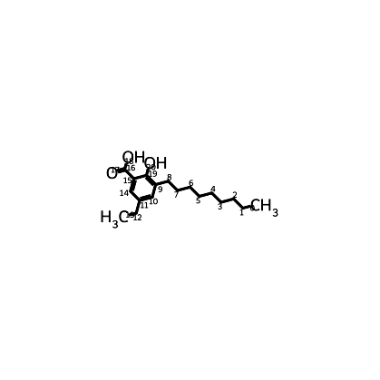 CCCCCCCCCc1cc(CC)cc(C(=O)O)c1O